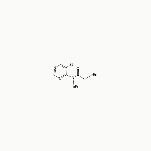 CCCN(C(=O)CC(C)(C)C)c1ncncc1CC